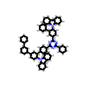 c1ccc(-c2cccc(-c3ccc(-n4c5ccccc5c5ccccc54)c(-c4ccc(-c5nc(-c6ccccc6)nc(-c6ccc(-n7c8ccccc8c8ccccc87)c(-c7ccccc7)c6)n5)cc4)c3)c2)cc1